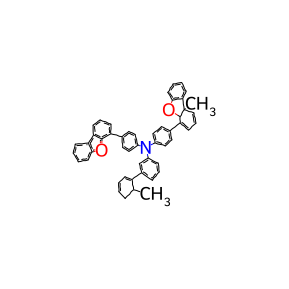 CC1CC=CC=C1c1cccc(N(c2ccc(C3=CC=CC4(C)c5ccccc5OC34)cc2)c2ccc(-c3cccc4c3oc3ccccc34)cc2)c1